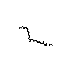 [CH2]CCCCCCCC=CCCCCC(C)CCCCCCC(C)CCCCC[CH2]